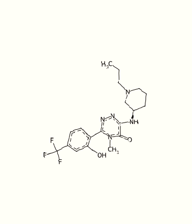 CCCN1CCC[C@@H](Nc2nnc(-c3ccc(C(F)(F)F)cc3O)n(C)c2=O)C1